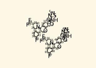 O=S(=O)(Nc1ncns1)c1ccc2c(c1)OCCC2N1CC[C@@H](C(F)F)C[C@H]1c1ccc(F)cc1.O=S(=O)(Nc1ncns1)c1ccc2c(c1)OCCC2N1CC[C@@H](C(F)F)C[C@H]1c1ccc(F)cc1